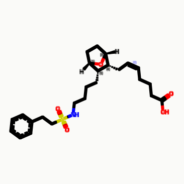 O=C(O)CCC/C=C\C[C@@H]1[C@H](CCCCNS(=O)(=O)CCc2ccccc2)[C@@H]2CC[C@H]1O2